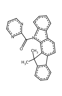 CC1(C)c2ccccc2-c2ccc3c4ccccc4n(C(=O)c4ncccn4)c3c21